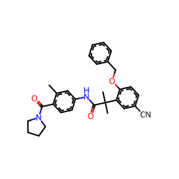 Cc1cc(NC(=O)C(C)(C)c2cc(C#N)ccc2OCc2ccccc2)ccc1C(=O)N1CCCC1